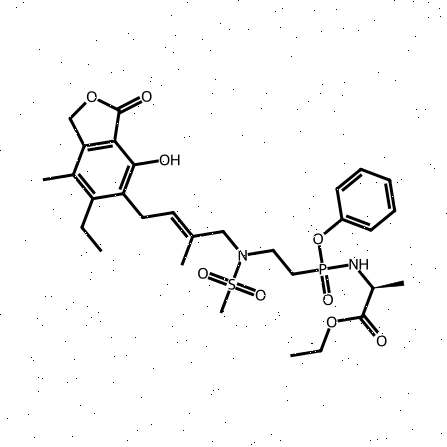 CCOC(=O)[C@H](C)NP(=O)(CCN(C/C(C)=C/Cc1c(O)c2c(c(C)c1CC)COC2=O)S(C)(=O)=O)Oc1ccccc1